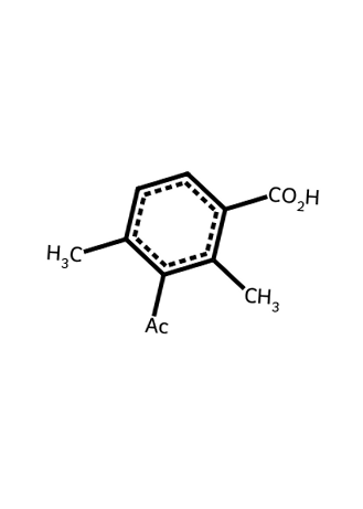 CC(=O)c1c(C)ccc(C(=O)O)c1C